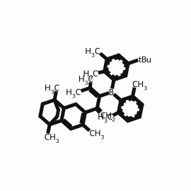 C=C(C1=C(C)C=C2C(C1)C1(C)CCC2(C)CC1)C(B(c1cc(C(C)(C)C)cc(C)c1C)c1c(C)cccc1C)=C(C)C